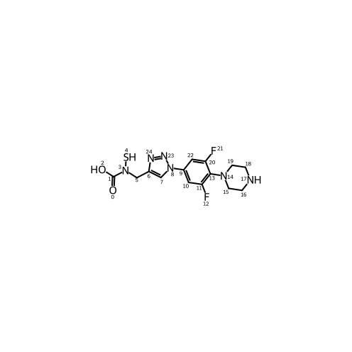 O=C(O)N(S)Cc1cn(-c2cc(F)c(N3CCNCC3)c(F)c2)nn1